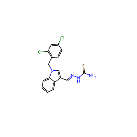 NC(=S)NN=Cc1cn(Cc2ccc(Cl)cc2Cl)c2ccccc12